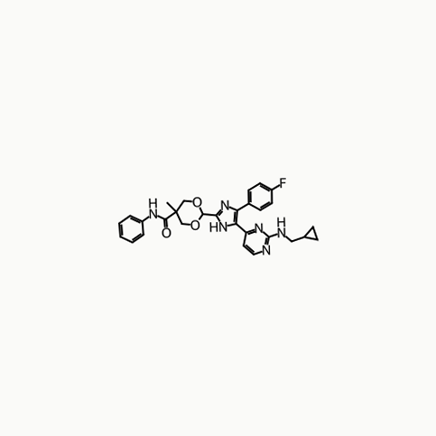 CC1(C(=O)Nc2ccccc2)COC(c2nc(-c3ccc(F)cc3)c(-c3ccnc(NCC4CC4)n3)[nH]2)OC1